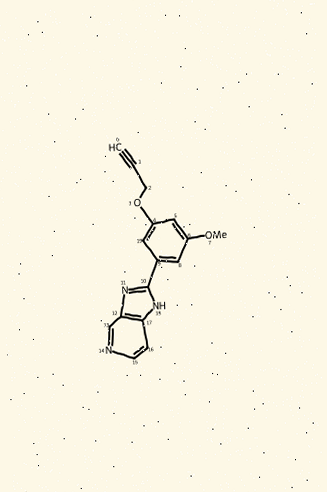 C#CCOc1cc(OC)cc(-c2nc3cnccc3[nH]2)c1